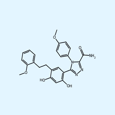 COc1ccc(-n2c(C(N)=O)nnc2-c2cc(CCc3ccccc3OC)c(O)cc2O)cc1